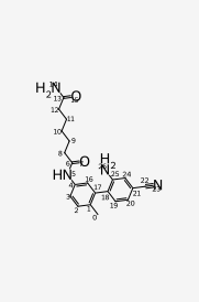 Cc1ccc(NC(=O)CCCCCC(N)=O)cc1-c1ccc(C#N)cc1N